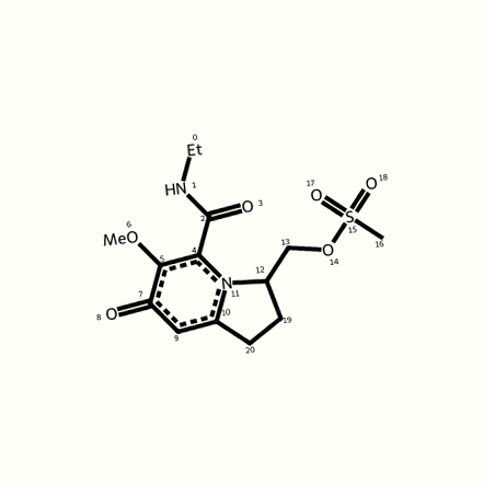 CCNC(=O)c1c(OC)c(=O)cc2n1C(COS(C)(=O)=O)CC2